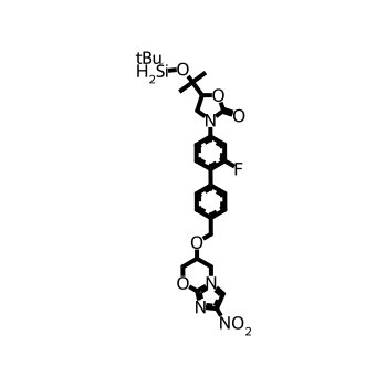 CC(C)(C)[SiH2]OC(C)(C)C1CN(c2ccc(-c3ccc(COC4COc5nc([N+](=O)[O-])cn5C4)cc3)c(F)c2)C(=O)O1